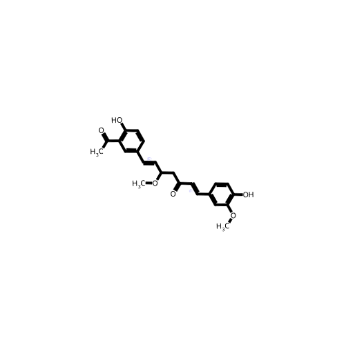 COc1cc(/C=C/C(=O)CC(/C=C/c2ccc(O)c(C(C)=O)c2)OC)ccc1O